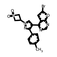 Cc1ccc(-c2nn(C3CS(=O)(=O)C3)cc2-c2ncnc3oc(Br)cc23)cc1